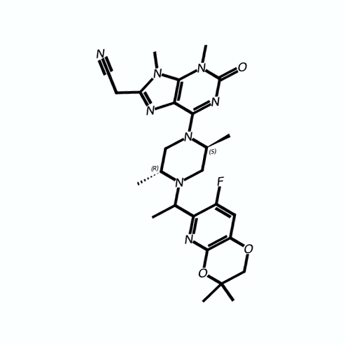 CC(c1nc2c(cc1F)OCC(C)(C)O2)N1C[C@H](C)N(c2nc(=O)n(C)c3c2nc(CC#N)n3C)C[C@H]1C